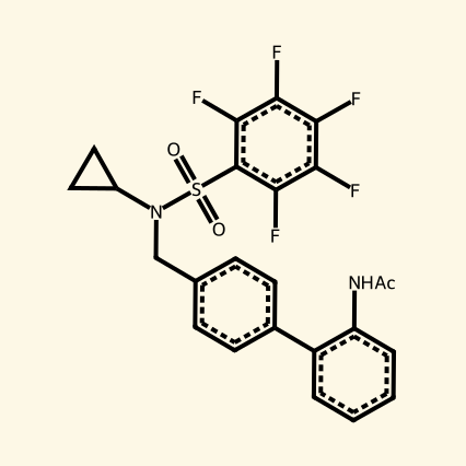 CC(=O)Nc1ccccc1-c1ccc(CN(C2CC2)S(=O)(=O)c2c(F)c(F)c(F)c(F)c2F)cc1